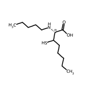 CCCCCN[C@H](C(=O)O)C(S)CCCCC